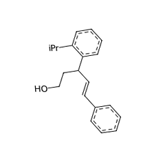 CC(C)c1ccccc1C(C=Cc1ccccc1)CCO